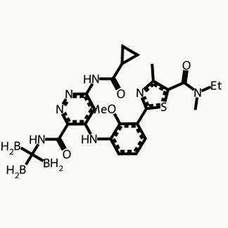 BC(B)(B)NC(=O)c1nnc(NC(=O)C2CC2)cc1Nc1cccc(-c2nc(C)c(C(=O)N(C)CC)s2)c1OC